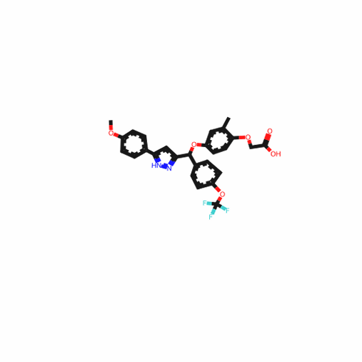 COc1ccc(-c2cc(C(Oc3ccc(OCC(=O)O)c(C)c3)c3ccc(OC(F)(F)F)cc3)n[nH]2)cc1